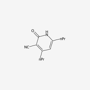 CCCc1cc(CCC)c(C#N)c(=O)[nH]1